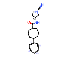 N#CN1CC[C@@H](NC(=O)C2CCCC(C3=C/C=C\C=C/C=C\3)CCC2)C1